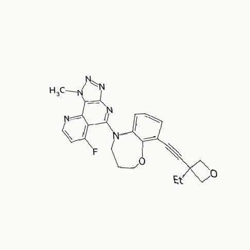 CCC1(C#Cc2cccc3c2OCCCN3c2nc3nnn(C)c3c3nccc(F)c23)COC1